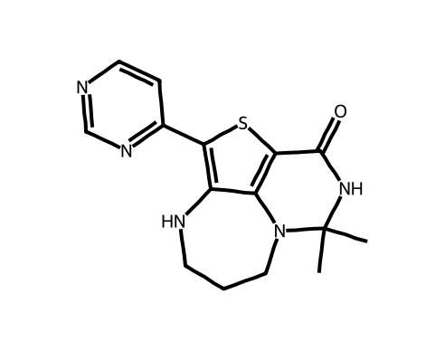 CC1(C)NC(=O)c2sc(-c3ccncn3)c3c2N1CCCN3